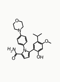 COc1cc(O)c(-c2ccc(C(N)=O)n2-c2ccc(N3CCOCC3)cc2)cc1C(C)C